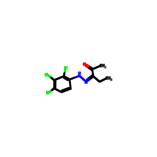 CCC(=NNc1ccc(Cl)c(Cl)c1Cl)C(C)=O